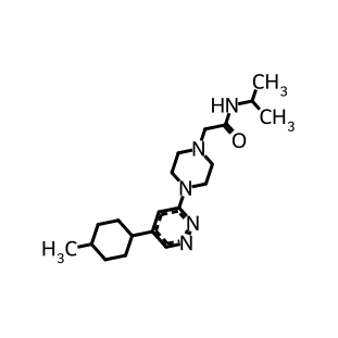 CC1CCC(c2cnnc(N3CCN(CC(=O)NC(C)C)CC3)c2)CC1